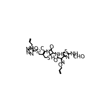 C=CCO/N=C(\C(=O)NC1C(=O)N2C(C(=O)O)=C(CSc3nnnn3CC=C)CS[C@H]12)c1csc(NC=O)n1